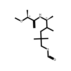 C=C(N[C@@H](C)C(C)CC(C)(C)COC=O)[C@H](C)OC